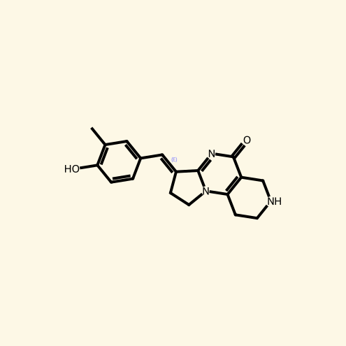 Cc1cc(/C=C2\CCn3c2nc(=O)c2c3CCNC2)ccc1O